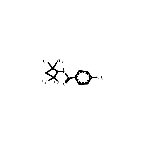 Cc1ccc(C(=O)NC2C(C)(C)CC2(C)C)cc1